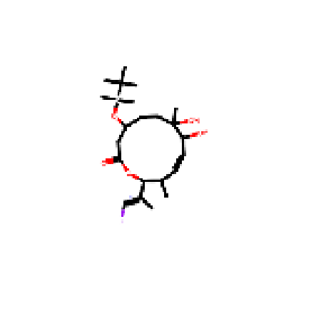 C/C(=C\I)C1OC(=O)CC(O[Si](C)(C)C(C)(C)C)CCC(C)(O)C(O)C=CC1C